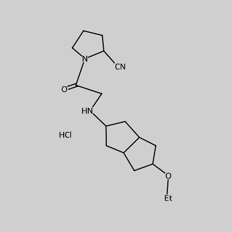 CCOC1CC2CC(NCC(=O)N3CCCC3C#N)CC2C1.Cl